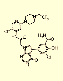 Cn1cnc2c(c(-c3cc(Cl)c(O)c(C(N)=O)c3)cn2CC(=O)Nc2cc(N3CCN(CC(F)(F)F)CC3)ncc2Cl)c1=O